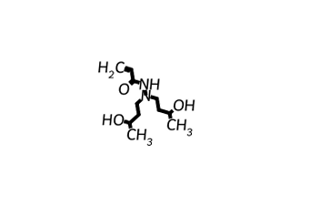 C=CC(=O)NN(CCC(C)O)CCC(C)O